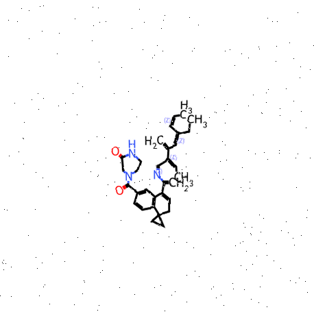 C=C(/N=C\C(=C/C)C(=C)/C=C(\C=C/C)CC)C1=CCC2(CC2)c2ccc(C(=O)N3CCNC(=O)C3)cc21